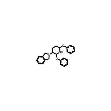 c1ccc(OC2CCC(N3Cc4ccccc4C3)C(Oc3ccccc3)N2)cc1